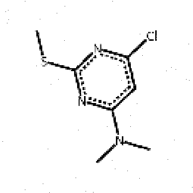 CSc1nc(Cl)cc(N(C)C)n1